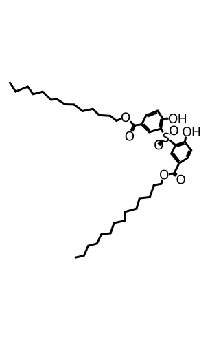 CCCCCCCCCCCCCCOC(=O)c1ccc(O)c(S(=O)(=O)c2cc(C(=O)OCCCCCCCCCCCCCC)ccc2O)c1